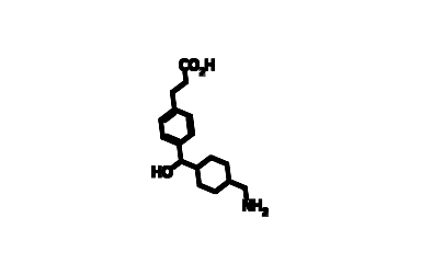 NCC1CCC(C(O)c2ccc(CCC(=O)O)cc2)CC1